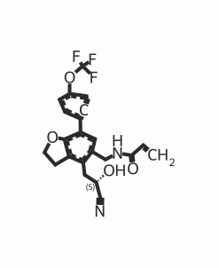 C=CC(=O)NCc1cc(-c2ccc(OC(F)(F)F)cc2)c2c(c1C[C@H](O)C#N)CCO2